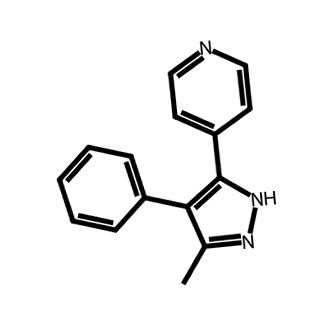 Cc1n[nH]c(-c2ccncc2)c1-c1ccccc1